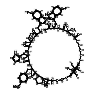 COc1ccc(C[C@@H]2NC(=O)[C@H](Cc3cnc[nH]3)NC(=O)[C@H](CC(=O)O)NC(=O)C(Cc3c[nH]c4ccc(F)cc34)NC(=O)[C@H](Cc3c[nH]c4ccc(F)cc34)NC(=O)[C@@H](C)NC(=O)CCCCSc3c(F)c(F)c(c(F)c3F)SCCNC(=O)[C@]3(C)CCCN3C2=O)cc1